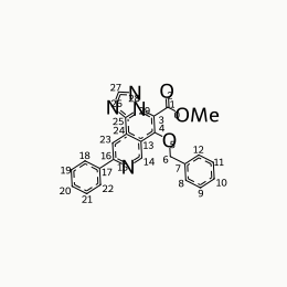 COC(=O)c1c(OCc2ccccc2)c2cnc(-c3ccccc3)cc2c2ncnn12